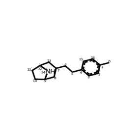 Cc1ccc(CCC2CC3CCC(C2)N3)cc1